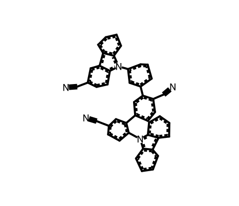 N#Cc1ccc(-n2c3ccccc3c3ccccc32)c(-c2ccc(C#N)c(-c3cccc(-n4c5ccccc5c5cc(C#N)ccc54)c3)c2)c1